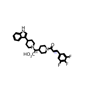 O=C(O)[C@H](C1CCN(C(=O)/C=C/c2cc(F)c(F)c(F)c2)CC1)N1CCC(c2c[nH]c3ccccc23)CC1